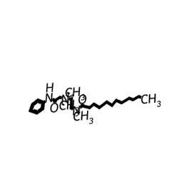 CCCCCCCCCCCC(=O)N(C)CC[N+](C)(C)CC(=O)Nc1ccccc1